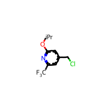 CC(C)Oc1cc(CCl)cc(C(F)(F)F)n1